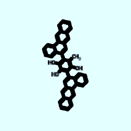 Cc1c(O)c(-c2cc3cc4ccccc4cc3c3ccccc23)c(O)c(O)c1-c1cc2cc3ccccc3cc2c2ccccc12